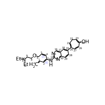 C=C/C=C(\C=C/COCCN(CC)CC)Nc1ncc2cc(C3=CCC=C(O)C=C3)ccc2n1